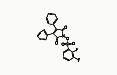 O=C1C(c2ccccc2)=C(c2ccccc2)C(=O)N1OS(=O)(=O)c1cccc(F)c1F